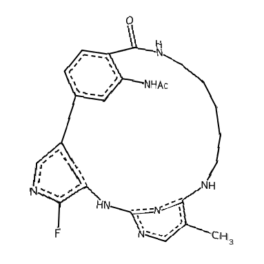 CC(=O)Nc1cc2ccc1C(=O)NCCCCCNc1nc(ncc1C)Nc1cc-2cnc1F